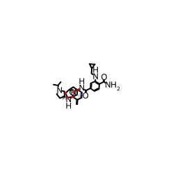 C=C(/C=C\CN1C2CCC1CC(NC(=O)c1ccc(C(N)=O)c(NCC3CC3)c1)C2)C(=O)N[C@@H]1CCN(C(C)C)C1